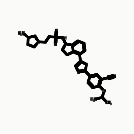 CC(C)Oc1ccc(-c2ncc(-c3cccc4c3CCC4NS(=O)(=O)CCN3CC[C@@H](N)C3)s2)cc1C#N